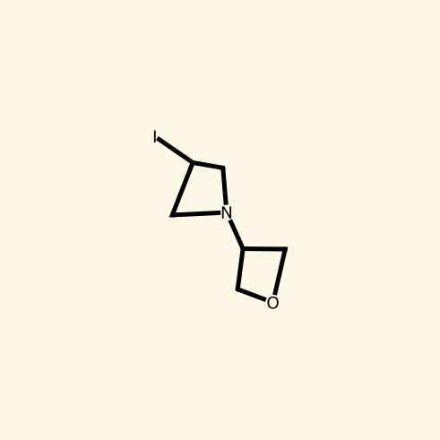 IC1CN(C2COC2)C1